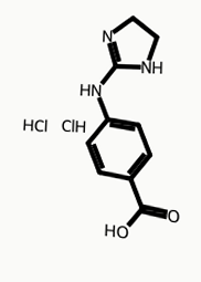 Cl.Cl.O=C(O)c1ccc(NC2=NCCN2)cc1